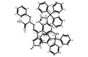 Cn1cc(/C(=C/CN(Cc2ccccc2)C(=O)O)c2cc(NC(c3ccccc3)(c3ccccc3)c3ccccc3)nc3c2nnn3C(c2ccccc2)(c2ccccc2)c2ccccc2)cn1